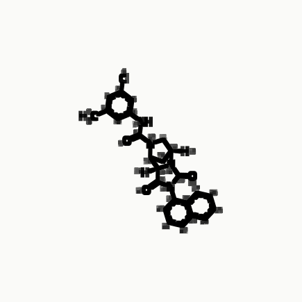 Cc1cc(Cl)cc(NC(=O)N2C[C@H]3CC2[C@H]2C(=O)N(c4cccc5ccccc45)C(=O)N32)c1